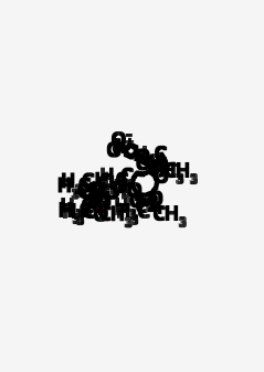 CCOC(C)OC1(C)CCC(O[Si](CC)(CC)CC)CC(=O)OC(/C(C)=C/C=C/C(C)(CC2OC2C(C)C(CC)O[Si](CC)(CC)CC)O[Si](CC)(CC)CC)C(C)/C=C/C1C(=O)OOc1ccc([N+](=O)[O-])cc1